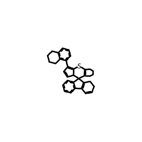 C1=CC2=C(CC1)C1(C3=C(CCCC3)SC3=C(c4cccc5c4CCCC5)C=CC31)c1ccccc12